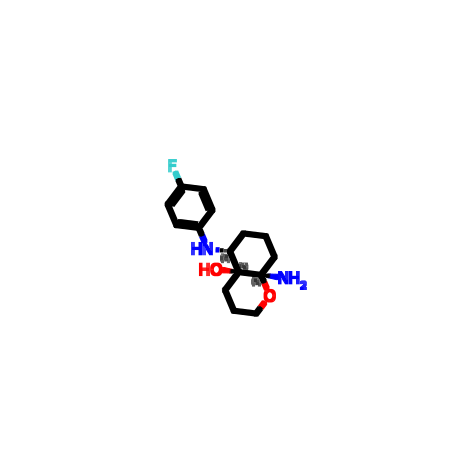 N[C@]12CCC[C@@H](Nc3ccc(F)cc3)[C@@]1(O)CCCO2